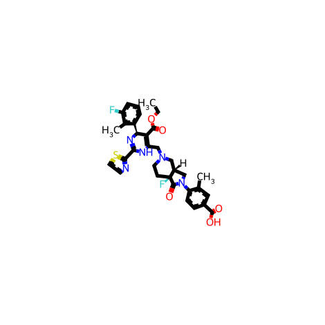 CCOC(=O)C1=C(CN2CC[C@@]3(F)C(=O)N(c4ccc(C(=O)O)cc4C)C[C@H]3C2)NC(c2nccs2)=N[C@H]1c1cccc(F)c1C